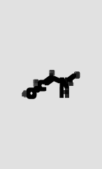 CNC=C=O